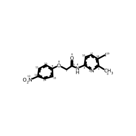 Cc1nc(NC(=O)COc2ccc([N+](=O)[O-])cc2)ccc1I